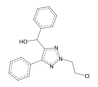 OC(c1ccccc1)c1nn(CCCl)nc1-c1ccccc1